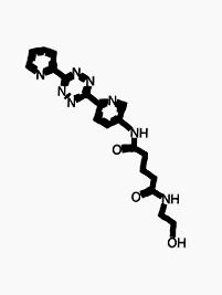 O=C(CCCC(=O)Nc1ccc(-c2nnc(-c3ccccn3)nn2)nc1)NCCO